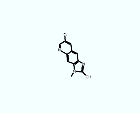 Cn1c(O)nc2cc3cc(Cl)cnc3cc21